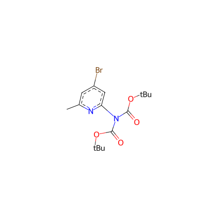 Cc1cc(Br)cc(N(C(=O)OC(C)(C)C)C(=O)OC(C)(C)C)n1